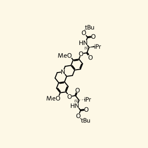 COc1cc2c(cc1OC(=O)[C@@H](NC(=O)OC(C)(C)C)C(C)C)C1Cc3ccc(OC(=O)[C@@H](NC(=O)OC(C)(C)C)C(C)C)c(OC)c3CN1CC2